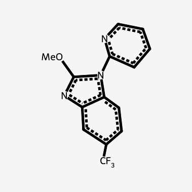 COc1nc2cc(C(F)(F)F)ccc2n1-c1ccccn1